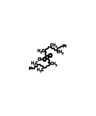 C/C(=C\Cc1c2ccccc2c(C/C=C(\C)CCC[C@H](C)CCC[C@H](C)CCCC(C)C)c2cc(Cl)ccc12)CCC[C@H](C)CCC[C@H](C)CCCC(C)C